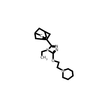 CCn1c(OCCN2CCCCC2)nnc1C12CC3CC(CC1C3)C2